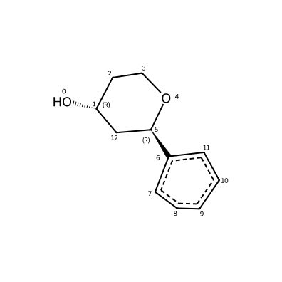 O[C@@H]1CCO[C@@H](c2ccccc2)C1